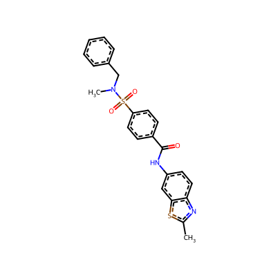 Cc1nc2ccc(NC(=O)c3ccc(S(=O)(=O)N(C)Cc4ccccc4)cc3)cc2s1